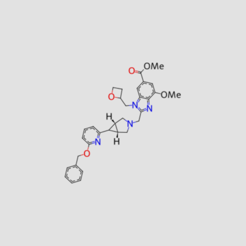 COC(=O)c1cc(OC)c2nc(CN3C[C@@H]4C(c5cccc(OCc6ccccc6)n5)[C@@H]4C3)n(CC3CCO3)c2c1